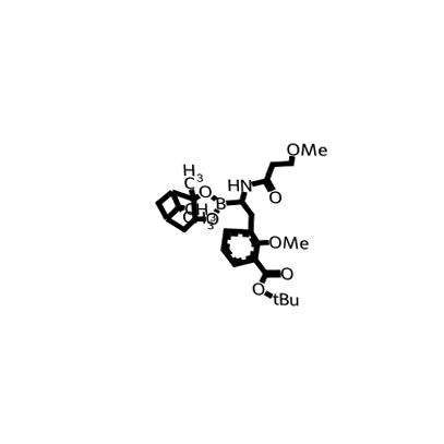 COCCC(=O)NC(Cc1cccc(C(=O)OC(C)(C)C)c1OC)B1OC2CC3CC(C3(C)C)C2(C)O1